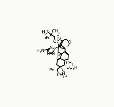 CC(C)[C@@H](C)[C@@]1(C)CC[C@]2(C)[C@H]3CC[C@@H]4[C@@]5(COC[C@@]4(C)[C@@H](OC[C@@](C)(N)C(C)C)[C@H](n4nnc(N)n4)C5)C3=CC[C@@]2(C)[C@@H]1C(=O)O